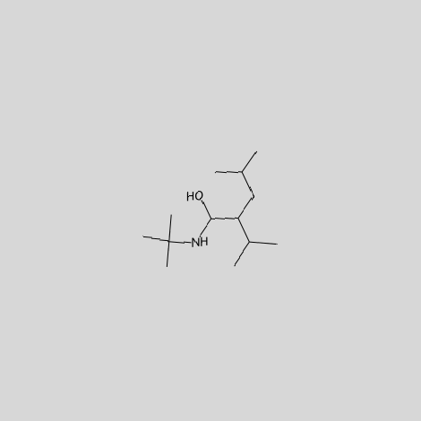 CC(C)CC(C(C)C)C(O)NC(C)(C)C